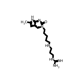 Cc1cc2cn(CCCCCNCCCNC(=N)N)c(=O)nc2[nH]1